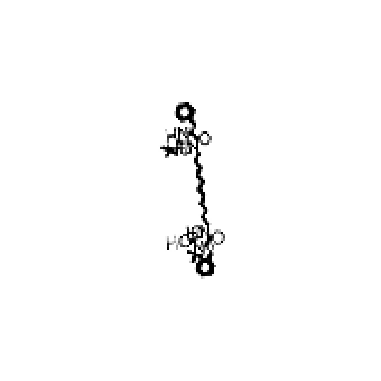 CC(C)(C)OC(=O)N[C@@H](Cc1ccccc1)C(=O)NCCCCCCCCCCCNC(=O)[C@H](Cc1ccccc1)N(C(=O)O)C(C)(C)C